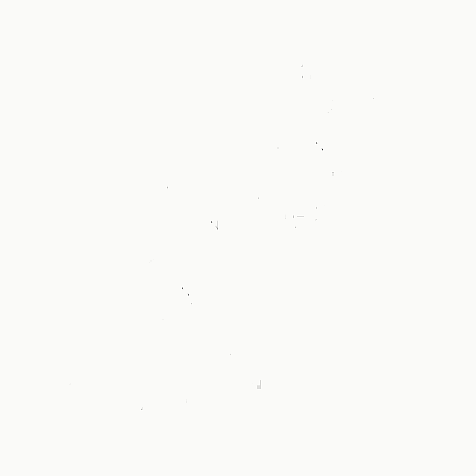 CCCOc1ccc(F)cc1N1CCN(CC(O)CN2C(=O)CCCC2=O)CC1.Cl